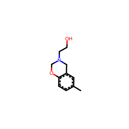 Cc1ccc2c(c1)CN(CCO)CO2